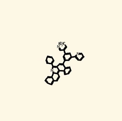 C/C=C(\C=N/C)c1cc(-c2ccccn2)cc(-c2cc3c(-c4ccccc4)nc4c5ccccc5ccc4c3c3ccccc23)c1